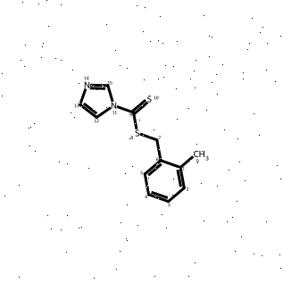 Cc1ccccc1CSC(=S)n1ccnc1